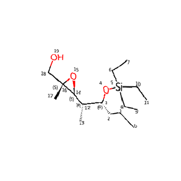 CCC[C@@H](O[Si](CC)(CC)CC)[C@H](C)[C@@H]1O[C@@]1(C)CO